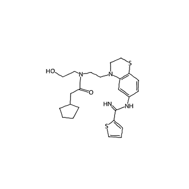 N=C(Nc1ccc2c(c1)N(CCN(CCO)C(=O)CC1CCCC1)CCS2)c1cccs1